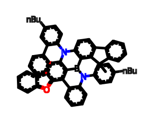 CCCCc1ccc(N2B3c4c(ccc5c4C(C)(C)c4ccccc4-5)N(c4ccc(CCCC)cc4-c4ccccc4)c4cc5c(oc6ccccc65)c(c43)-c3ccccc32)cc1